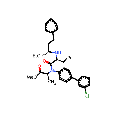 CCOC(=O)[C@H](CCc1ccccc1)N[C@@H](CC(C)C)C(=O)N(c1ccc(-c2cccc(Cl)c2)cc1)[C@@H](C)C(=O)OC